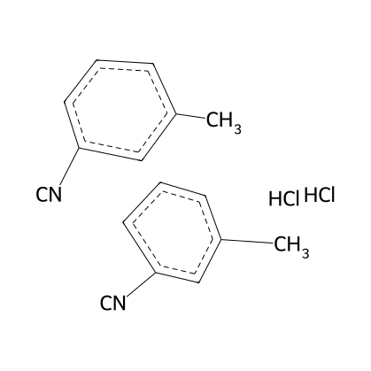 Cl.Cl.[C-]#[N+]c1cccc(C)c1.[C-]#[N+]c1cccc(C)c1